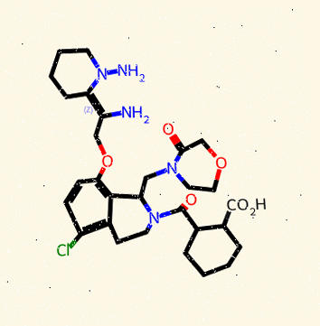 N/C(COc1ccc(Cl)c2c1C(CN1CCOCC1=O)N(C(=O)C1CCCCC1C(=O)O)CC2)=C1/CCCCN1N